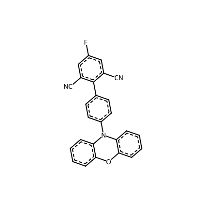 N#Cc1cc(F)cc(C#N)c1-c1ccc(N2c3ccccc3Oc3ccccc32)cc1